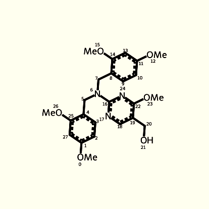 COc1ccc(CN(Cc2ccc(OC)cc2OC)c2ncc(CO)c(OC)n2)c(OC)c1